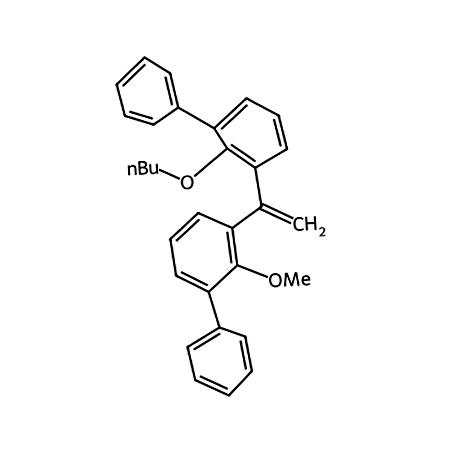 C=C(c1cccc(-c2ccccc2)c1OC)c1cccc(-c2ccccc2)c1OCCCC